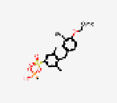 COCOc1ccc(Cc2c(C)cc(S(=O)(=O)OP(C)(=O)O)cc2C)cc1C(C)C